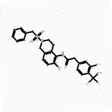 O=C(Cc1ccc(C(F)(F)F)c(F)c1)Nc1c(Cl)ccc2c1CCN(S(=O)(=O)Cc1ccccc1)C2